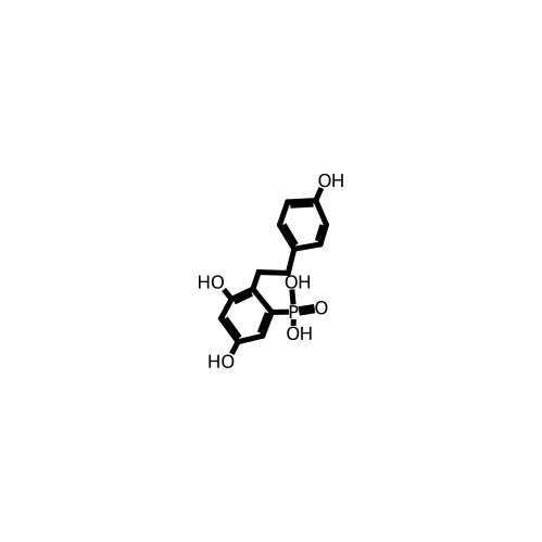 O=P(O)(O)c1cc(O)cc(O)c1CCc1ccc(O)cc1